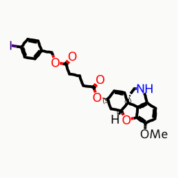 COc1ccc2c3c1O[C@@H]1C[C@H](OC(=O)CCCC(=O)OCc4ccc(I)cc4)C=C[C@@]31CCNC2